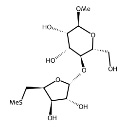 CO[C@H]1O[C@H](CO)[C@@H](O[C@H]2O[C@H](CSC)[C@H](O)[C@H]2O)[C@H](O)[C@@H]1O